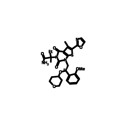 CCC(C)(C(N)=O)n1c(=O)c2c(C)c(-c3ncco3)sc2n(C[C@H](OC2CCOCC2)c2ccccc2OC)c1=O